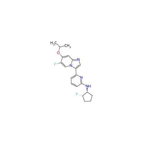 CC(C)Oc1cc2ncc(-c3cccc(N[C@H]4CCC[C@@H]4F)n3)n2cc1F